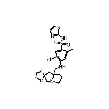 O=S(=O)(Nc1nccs1)c1cc(Cl)c(NC[C@]23CCCN2CC2(C3)OCCO2)cc1F